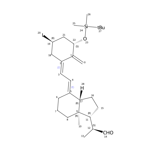 C=C1/C(=C\C=C2/CCC[C@]3(C)[C@@H]([C@H](C)C=O)CC[C@@H]23)C[C@@H](I)C[C@@H]1O[Si](C)(C)C(C)(C)C